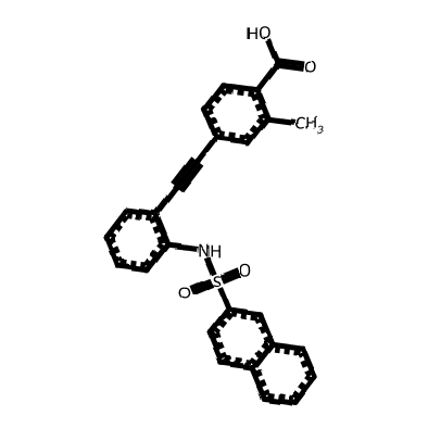 Cc1cc(C#Cc2ccccc2NS(=O)(=O)c2ccc3ccccc3c2)ccc1C(=O)O